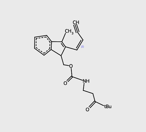 C#C/C=C\C1=C(C)c2ccccc2C1COC(=O)NCCC(=O)C(C)(C)C